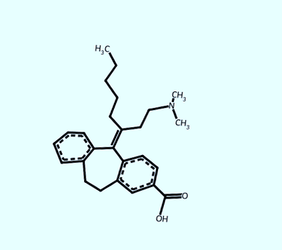 CCCCC/C(CCN(C)C)=C1\c2ccccc2CCc2cc(C(=O)O)ccc21